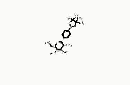 CC(=O)OC[C@H]1O[C@H](c2ccc(B3OC(C)(C)C(C)(C)O3)cc2)[C@@H](C)[C@@H](OC(C)=O)[C@@H]1OC(C)=O